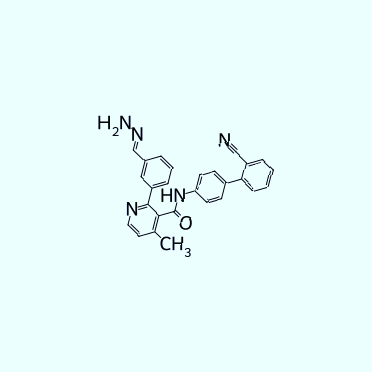 Cc1ccnc(-c2cccc(C=NN)c2)c1C(=O)Nc1ccc(-c2ccccc2C#N)cc1